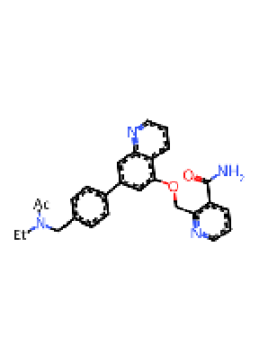 CCN(Cc1ccc(-c2cc(OCc3ncccc3C(N)=O)c3cccnc3c2)cc1)C(C)=O